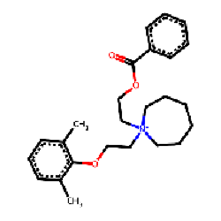 Cc1cccc(C)c1OCC[N+]1(CCOC(=O)c2ccccc2)CCCCCC1